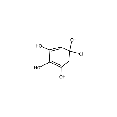 OC1=CC(O)(Cl)CC(O)=C1O